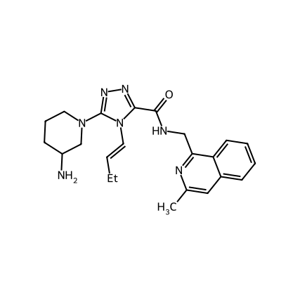 CC/C=C/n1c(C(=O)NCc2nc(C)cc3ccccc23)nnc1N1CCCC(N)C1